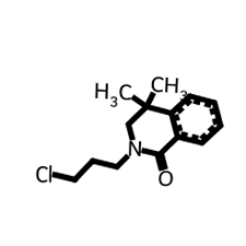 CC1(C)CN(CCCCl)C(=O)c2ccccc21